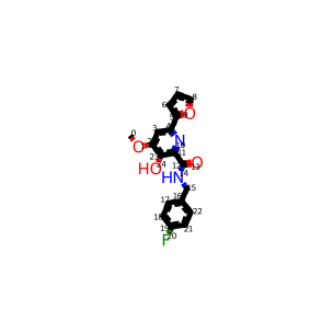 COc1cc(-c2ccco2)nc(C(=O)NCc2ccc(F)cc2)c1O